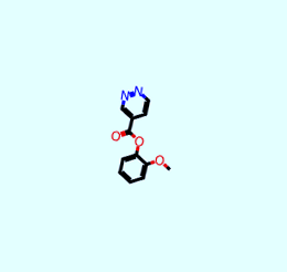 COc1ccccc1OC(=O)c1ccnnc1